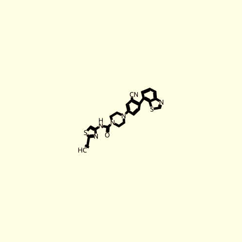 C#Cc1nc(NC(=O)N2CCN(c3ccc(-c4cccc5ncsc45)c(C#N)c3)CC2)cs1